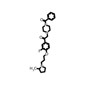 CC1CCCN1CCCOc1ccc(C(=O)CN2CCN(C(=O)c3ccccc3)CC2)cc1F